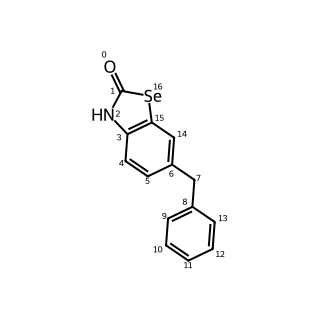 O=c1[nH]c2ccc(Cc3ccccc3)cc2[se]1